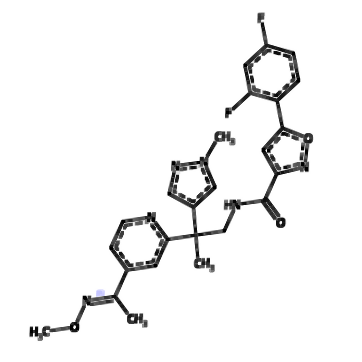 CO/N=C(\C)c1ccnc(C(C)(CNC(=O)c2cc(-c3ccc(F)cc3F)on2)c2cnn(C)c2)c1